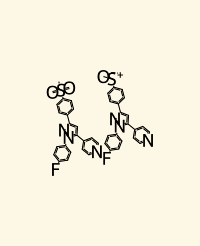 CS(=O)(=O)c1ccc(-c2cc(-c3ccncc3)n(-c3ccc(F)cc3)n2)cc1.C[S+]([O-])c1ccc(-c2cc(-c3ccncc3)n(-c3ccc(F)cc3)n2)cc1